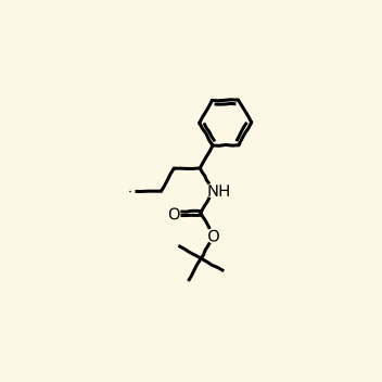 [CH2]CCC(NC(=O)OC(C)(C)C)c1ccccc1